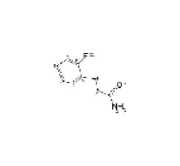 NC(=O)[CH]Cc1ccccc1F